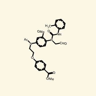 COC(=O)c1ccc(OCCN(C(C)=O)c2ccc(N(CC=O)C(=O)Nc3ccccc3C)c(OC)c2)cc1